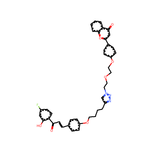 O=C(C=Cc1ccc(OCCCCc2cn(CCOCCOc3ccc(-c4cc(=O)c5ccccc5o4)cc3)nn2)cc1)c1ccc(F)cc1O